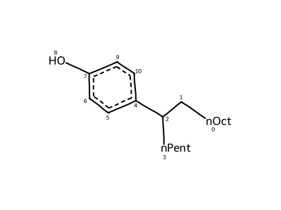 CCCCCCCCCC(CCCCC)c1ccc(O)cc1